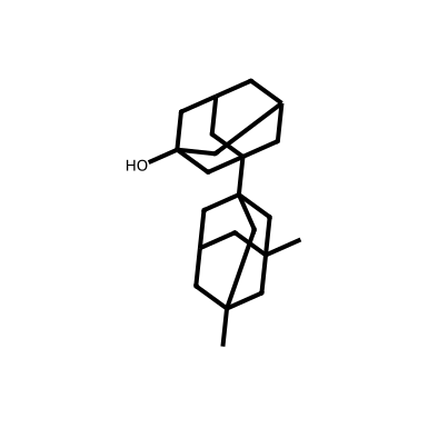 CC12CC3CC(C)(C1)CC(C14CC5CC(CC(O)(C5)C1)C4)(C3)C2